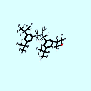 NN(S(=O)(=O)c1cc(C(F)(C(F)(F)F)C(F)(F)F)cc(C(F)(C(F)(F)F)C(F)(F)F)c1)S(=O)(=O)c1cc(C(F)(C(F)(F)F)C(F)(F)F)cc(C(F)(C(F)(F)F)C(F)(F)F)c1